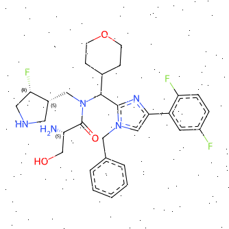 N[C@@H](CO)C(=O)N(C[C@@H]1CNC[C@@H]1F)C(c1nc(-c2cc(F)ccc2F)cn1Cc1ccccc1)C1CCOCC1